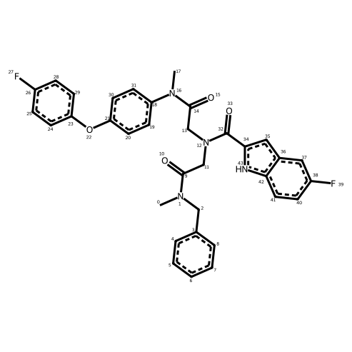 CN(Cc1ccccc1)C(=O)CN(CC(=O)N(C)c1ccc(Oc2ccc(F)cc2)cc1)C(=O)c1cc2cc(F)ccc2[nH]1